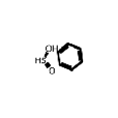 O=[SH]O.c1ccccc1